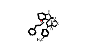 Cc1ccc([C@@H]2[C@H]3CSCN3[C@]3(C(=O)Nc4ccccc43)[C@H]2C(=O)/C=C/c2ccccc2)cc1